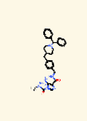 CN(N)C(=O)n1cnc(C(=O)NCc2ccc(CC3CCN(C(c4ccccc4)c4ccccc4)CC3)cc2)c1N